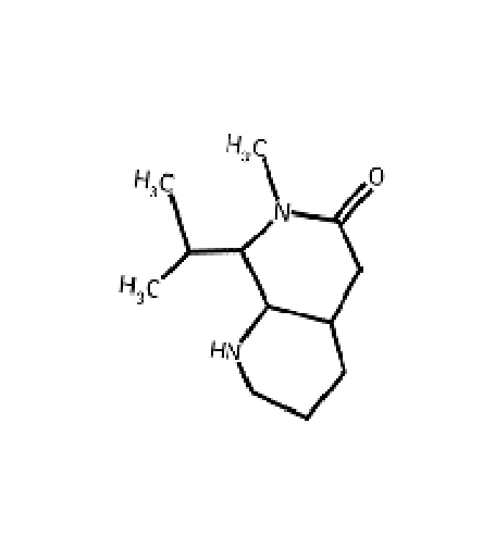 CC(C)C1C2NCCCC2CC(=O)N1C